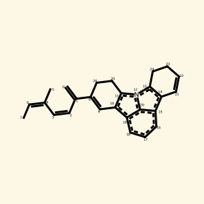 C=C(/C=C\C(C)=C/C)C1=Cc2c(n3c4c(c5cccc2c53)C=CCC4)CC1